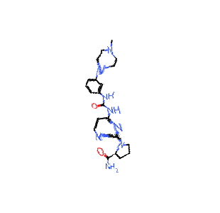 CN1CCN(c2cccc(NC(=O)Nc3ccnc(N4CCC[C@H]4C(N)=O)n3)c2)CC1